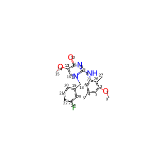 COc1cc(C)cc(Nc2nc(=O)c(OC)cn2Cc2cccc(F)c2)c1C